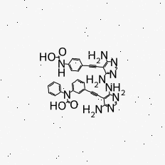 Nc1ncnc(N)c1C#Cc1ccc(NC(=O)O)cc1.Nc1ncnc(N)c1C#Cc1cccc(N(C(=O)O)c2ccccc2)c1